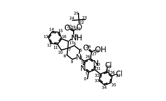 Cc1nc(N2CCC3(CC2)Cc2ccccc2[C@H]3NC(=O)OC(C)(C)C)c(C(=O)O)nc1-c1cccc(Cl)c1Cl